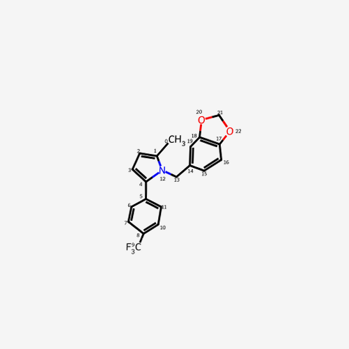 Cc1ccc(-c2ccc(C(F)(F)F)cc2)n1Cc1ccc2c(c1)OCO2